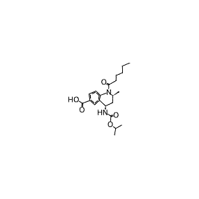 CCCCCC(=O)N1c2ccc(C(=O)O)cc2[C@H](NC(=O)OC(C)C)C[C@@H]1C